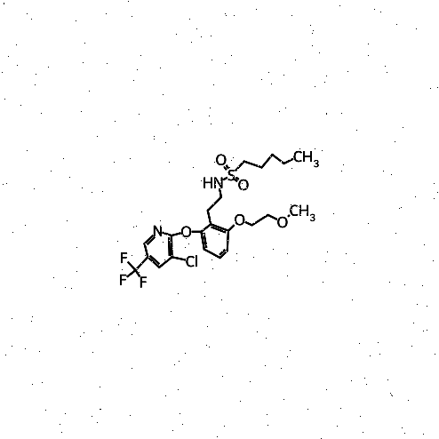 CCCCCS(=O)(=O)NCCc1c(OCCOC)cccc1Oc1ncc(C(F)(F)F)cc1Cl